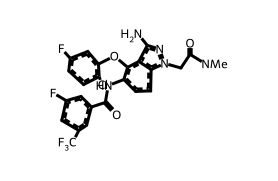 CNC(=O)Cn1nc(N)c2c(Oc3cc(F)ccc3Cl)c(NC(=O)c3cc(F)cc(C(F)(F)F)c3)ccc21